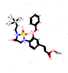 CC(C)(C)OC(=O)C=Cc1ccc(N2CC(=O)N(CC[Si](C)(C)C)S2(=O)=O)c(OCc2ccccc2)c1